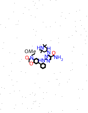 COCCN1C(=O)COc2cc(-c3ccccc3Nc3ncc(C(N)=O)c(NC4CC(C)(C)NC(C)(C)C4)n3)ccc21